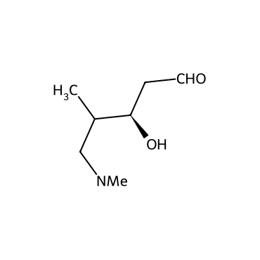 CNCC(C)[C@H](O)CC=O